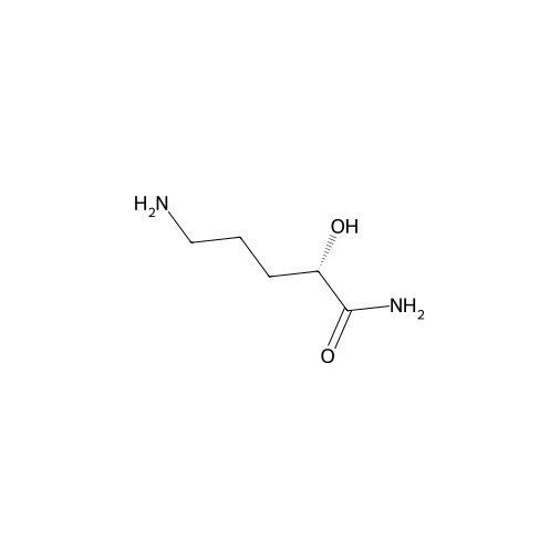 NCCC[C@H](O)C(N)=O